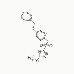 COc1nsc(S(=O)(=O)Cc2ccc(OCc3ccccc3)cc2)n1